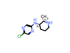 C[C@@H]1NCCC[C@H]1Nc1cnc(Cl)cn1